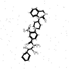 C[C@@H]([C@H](O)c1ccccc1)N(C)C(=O)c1ccc(N2CCC(N3C(=O)OCc4ccccc43)CC2)c([N+](=O)[O-])c1